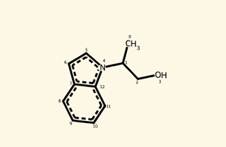 CC(CO)n1ccc2ccccc21